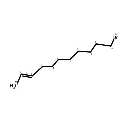 C/C=C/CCCCCCCCBr